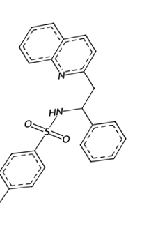 Cc1ccc(S(=O)(=O)NC(Cc2ccc3ccccc3n2)c2ccccc2)cc1